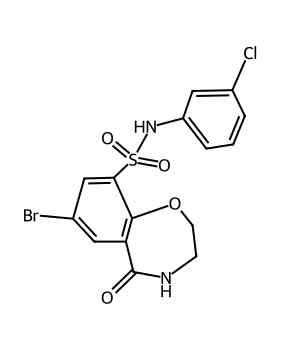 O=C1NCCOc2c1cc(Br)cc2S(=O)(=O)Nc1cccc(Cl)c1